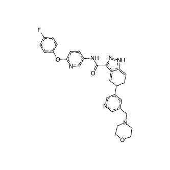 O=C(Nc1ccc(Oc2ccc(F)cc2)nc1)c1n[nH]c2c1=CC(c1cncc(CN3CCOCC3)c1)CC=2